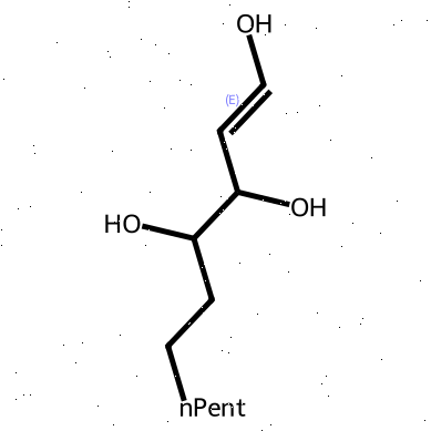 CCCCCCCC(O)C(O)/C=C/O